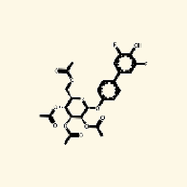 CC(=O)OC[C@H]1O[C@@H](Oc2ccc(-c3cc(F)c(O)c(F)c3)cc2)[C@@H](OC(C)=O)[C@@H](OC(C)=O)[C@@H]1OC(C)=O